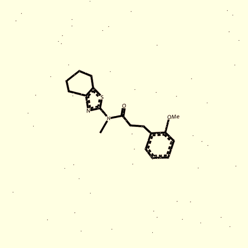 COc1ccccc1CCC(=O)N(C)c1nc2c(s1)CCCC2